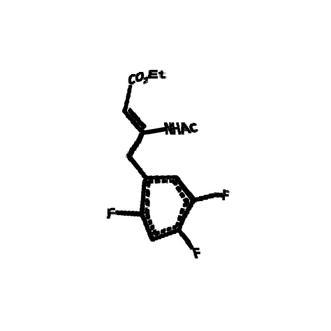 CCOC(=O)/C=C(/Cc1cc(F)c(F)cc1F)NC(C)=O